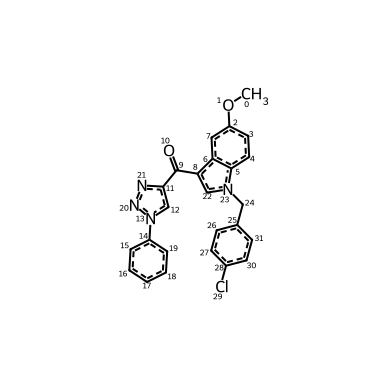 COc1ccc2c(c1)c(C(=O)c1cn(-c3ccccc3)nn1)cn2Cc1ccc(Cl)cc1